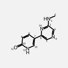 CNc1cncc(-c2ccc(=O)[nH]c2)n1